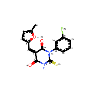 Cc1ccc(C=C2C(=O)NC(=S)N(c3cccc(F)c3)C2=O)o1